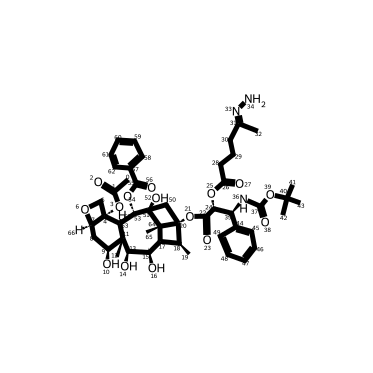 CC(=O)O[C@@]12CO[C@@H]1C[C@H](O)[C@@]1(C)[C@H](O)[C@H](O)C3[C@H](C)[C@]4(OC(=O)[C@H](OC(=O)CCC/C(C)=N/N)[C@@H](NC(=O)OC(C)(C)C)c5ccccc5)C[C@@](O)([C@@H](OC(=O)c5ccccc5)[C@H]21)[C@@]34C